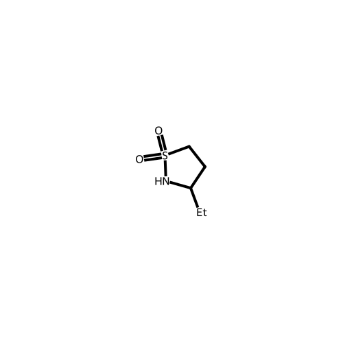 CCC1CCS(=O)(=O)N1